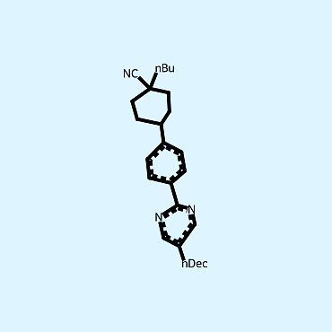 CCCCCCCCCCc1cnc(-c2ccc(C3CCC(C#N)(CCCC)CC3)cc2)nc1